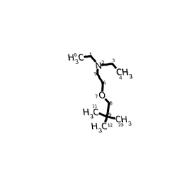 CCN(CC)CCOCC(C)(C)C